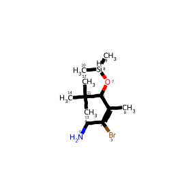 CC(=C(Br)CN)C(O[SiH](C)C)C(C)(C)C